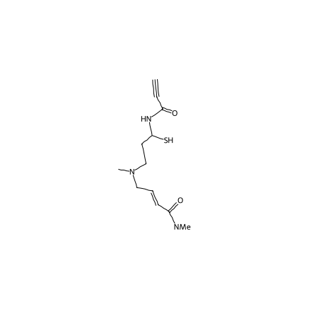 C#CC(=O)NC(S)CCN(C)C/C=C/C(=O)NC